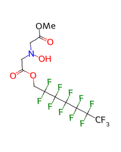 COC(=O)CN(O)CC(=O)OCC(F)(F)C(F)(F)C(F)(F)C(F)(F)C(F)(F)C(F)(F)F